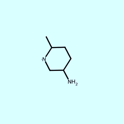 CC1CCC(N)C[N]1